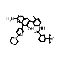 Cc1ccc(NC(=O)c2cccc(C(F)(F)F)c2)cc1-c1cc2cnc(N)nc2c(-c2ccc(N3CCOCC3)nc2)c1O